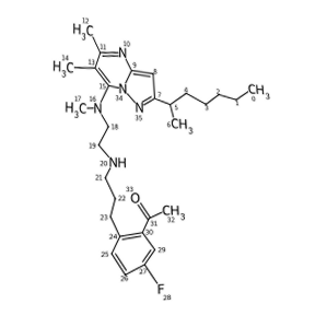 CCCCCC(C)c1cc2nc(C)c(C)c(N(C)CCNCCCc3ccc(F)cc3C(C)=O)n2n1